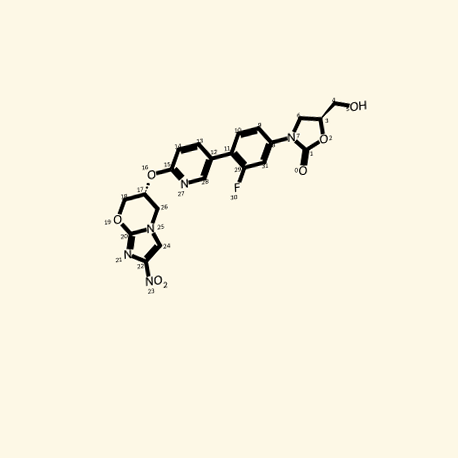 O=C1O[C@H](CO)CN1c1ccc(-c2ccc(O[C@H]3COc4nc([N+](=O)[O-])cn4C3)nc2)c(F)c1